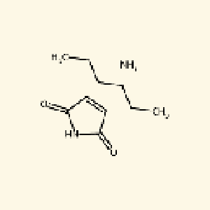 CCCCCC.N.O=C1C=CC(=O)N1